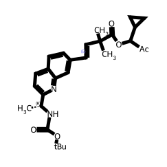 CC(=O)C(OC(=O)C(C)(C)/C=C/c1ccc2ccc([C@@H](C)NC(=O)OC(C)(C)C)nc2c1)C1CC1